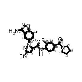 CCc1cc(C(=O)Nc2ccc(C(=O)N3CCCC3)cc2F)n(-c2ccc3onc(N)c3c2)n1